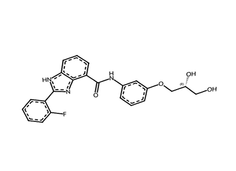 O=C(Nc1cccc(OC[C@H](O)CO)c1)c1cccc2[nH]c(-c3ccccc3F)nc12